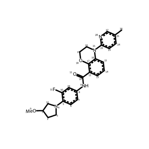 COC1CCN(c2ccc(NC(=O)c3cccc4c3OCCN4c3ccc(C)cn3)cc2F)C1